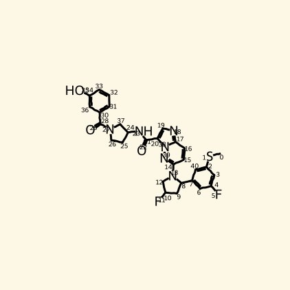 CSc1cc(F)cc(C2CC(F)CN2c2ccc3ncc(C(=O)NC4CCN(C(=O)c5cccc(O)c5)C4)n3n2)c1